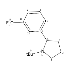 CC(C)(C)N1CCCC1c1cccc(C(F)(F)F)c1